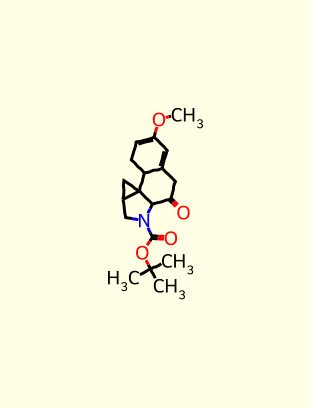 COC1=CCC2C(=C1)CC(=O)C1N(C(=O)OC(C)(C)C)CC3CC321